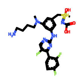 CN(CCCCN)c1cc(C[SH](C)(O)=NC(=O)O)cc(Nc2ncc(F)c(-c3ccc(F)cc3F)n2)c1